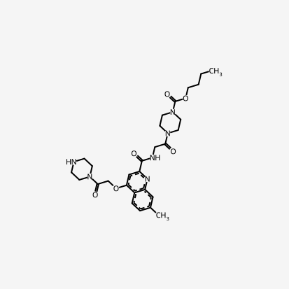 CCCCOC(=O)N1CCN(C(=O)CNC(=O)c2cc(OCC(=O)N3CCNCC3)c3ccc(C)cc3n2)CC1